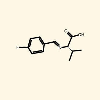 CC(C)[C@H](N=Cc1ccc(F)cc1)C(=O)O